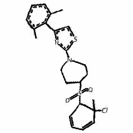 Cc1cccc(C)c1-c1csc(N2CCC(S(=O)(=O)C3C=CC=CC3(C)Cl)CC2)n1